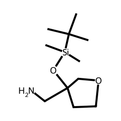 CC(C)(C)[Si](C)(C)OC1(CN)CCOC1